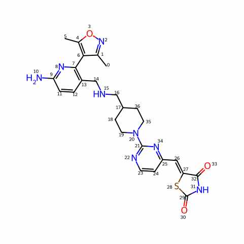 Cc1noc(C)c1-c1nc(N)ccc1CNCC1CCN(c2nccc(/C=C3\SC(=O)NC3=O)n2)CC1